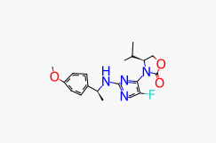 COc1ccc([C@H](C)Nc2ncc(F)c(N3C(=O)OC[C@@H]3C(C)C)n2)cc1